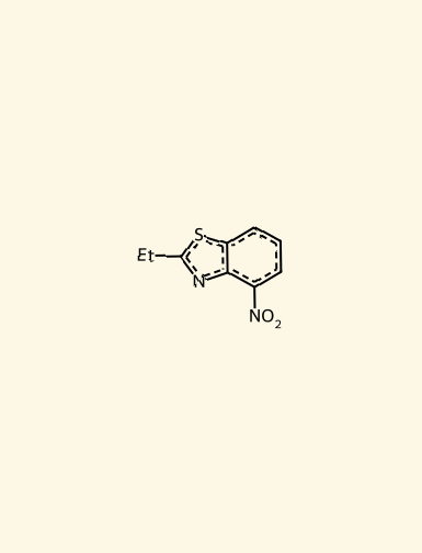 CCc1nc2c([N+](=O)[O-])cccc2s1